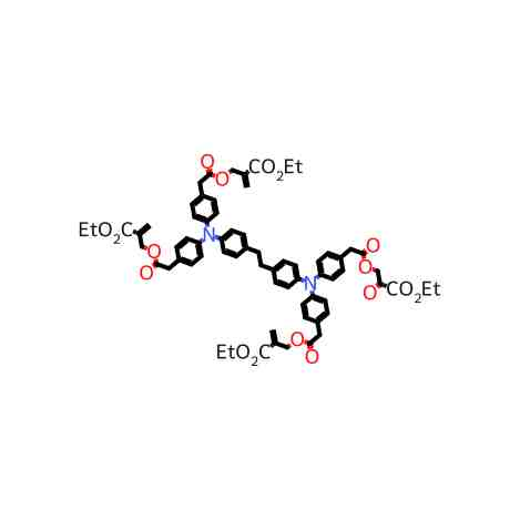 C=C(COC(=O)Cc1ccc(N(c2ccc(CCc3ccc(N(c4ccc(CC(=O)OCC(=C)C(=O)OCC)cc4)c4ccc(CC(=O)OCC(=O)C(=O)OCC)cc4)cc3)cc2)c2ccc(CC(=O)OCC(=C)C(=O)OCC)cc2)cc1)C(=O)OCC